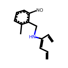 C=C/C=C(\C=C)NCc1c(C)cccc1N=O